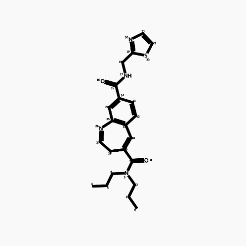 CCCN(CCC)C(=O)C1=Cc2ccc(C(=O)NCc3nccs3)cc2N=CC1